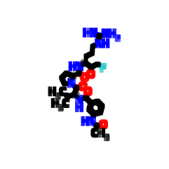 CC(=O)Nc1cccc(C(=O)N[C@H](C(=O)N2CCC[C@H]2C(=O)N[C@@H](CCCNC(=N)N)C(=O)CF)C(C)C)c1